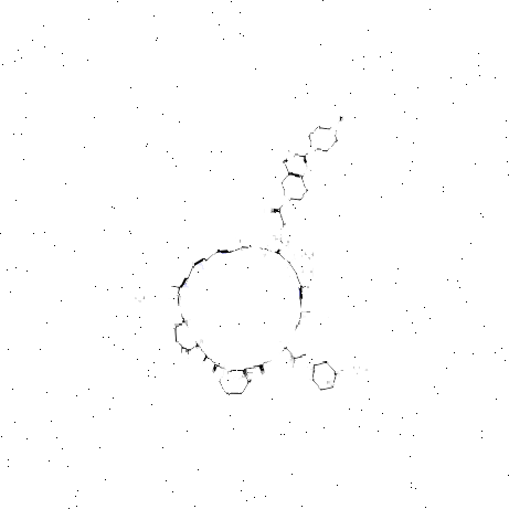 CO[C@H]1C[C@@H]2CC[C@@H](C)[C@@](O)(O2)C(=O)C(=O)N2CCCC[C@H]2C(=O)O[C@H]([C@H](C)C[C@@H]2CC[C@@H](O)[C@H](OC)C2)C[C@@H](O)[C@H](C)/C=C(\C)[C@@H](O)[C@@H](OC)/C(=N/OCC(=O)N2CCc3nc(N4CCN(C)CC4)ncc3C2)[C@H](C)C[C@H](C)/C=C/C=C/C=C/1C